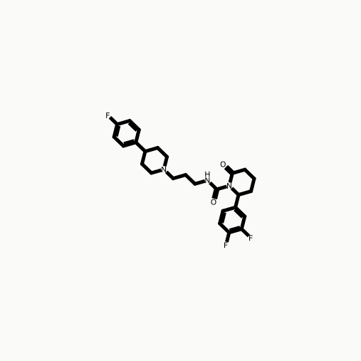 O=C1CCCC(c2ccc(F)c(F)c2)N1C(=O)NCCCN1CCC(c2ccc(F)cc2)CC1